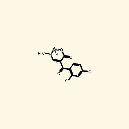 COC(=O)/C(=C\N(C)C)C(=O)c1ccc(Cl)cc1Cl